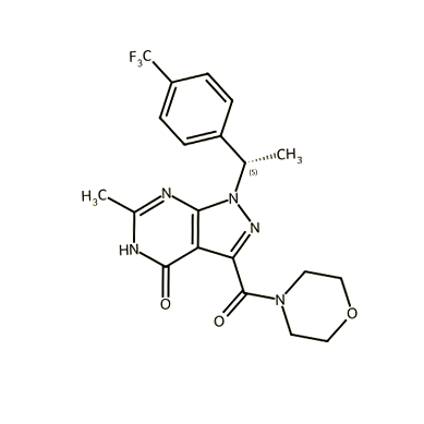 Cc1nc2c(c(C(=O)N3CCOCC3)nn2[C@@H](C)c2ccc(C(F)(F)F)cc2)c(=O)[nH]1